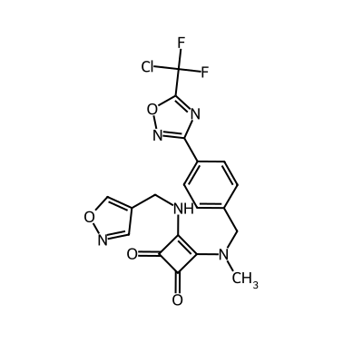 CN(Cc1ccc(-c2noc(C(F)(F)Cl)n2)cc1)c1c(NCc2cnoc2)c(=O)c1=O